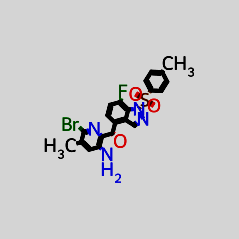 Cc1ccc(S(=O)(=O)n2ncc3c(C(=O)c4nc(Br)c(C)cc4N)ccc(F)c32)cc1